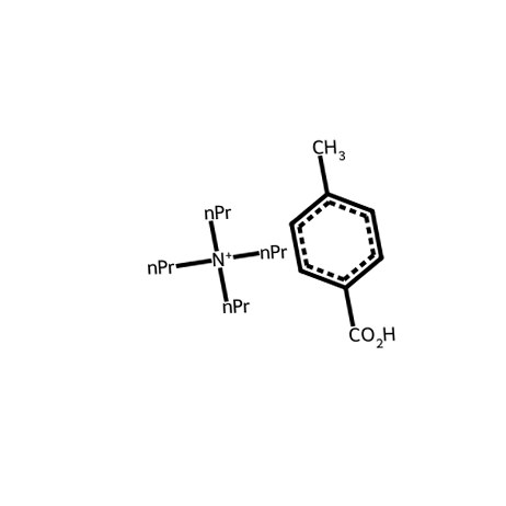 CCC[N+](CCC)(CCC)CCC.Cc1ccc(C(=O)O)cc1